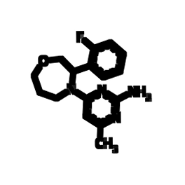 Cc1cc(N2CCCOCC2c2ccccc2F)nc(N)n1